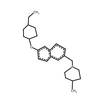 CCC1CCC(Oc2ccc3cc(CN4CCC(C)CC4)ccc3c2)CC1